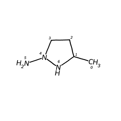 CC1CCN(N)N1